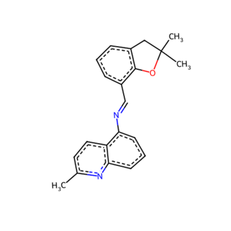 Cc1ccc2c(N=Cc3cccc4c3OC(C)(C)C4)cccc2n1